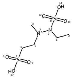 CCN([N+](C)CCS(=O)(=O)O)S(=O)(=O)O